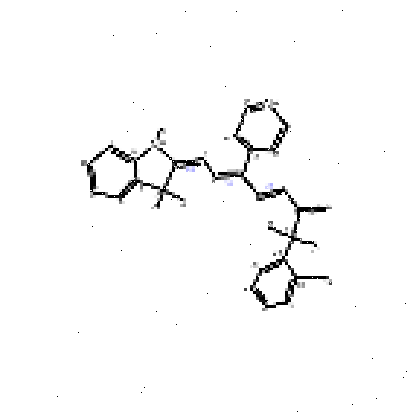 C=C(/C=C/C(=C/C=C1/N(C)c2ccccc2C1(C)C)c1ccncc1)C(C)(C)c1ccccc1C